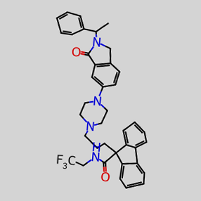 CC(c1ccccc1)N1Cc2ccc(N3CCN(CCCC4(C(=O)NCC(F)(F)F)c5ccccc5-c5ccccc54)CC3)cc2C1=O